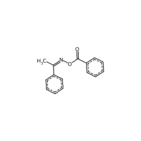 CC(=NOC(=O)c1ccccc1)c1ccccc1